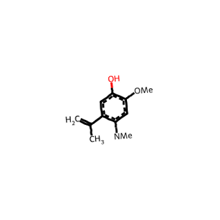 C=C(C)c1cc(O)c(OC)cc1NC